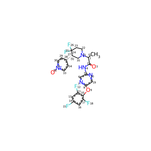 CC(C(=O)Nc1cnc(Oc2c(F)cc(F)cc2F)cn1)N1CCC(F)(F)[C@@H](c2cc[n+]([O-])cc2)C1